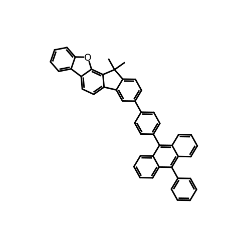 CC1(C)c2ccc(-c3ccc(-c4c5ccccc5c(-c5ccccc5)c5ccccc45)cc3)cc2-c2ccc3c(oc4ccccc43)c21